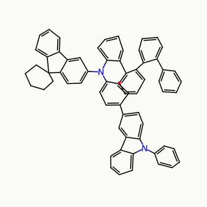 c1ccc(-c2ccccc2-c2ccccc2-c2ccccc2N(c2ccc(-c3ccc4c(c3)c3ccccc3n4-c3ccccc3)cc2)c2ccc3c(c2)-c2ccccc2C32CCCCC2)cc1